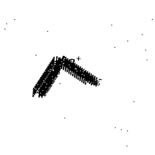 I.I.I.I.I.I.I.I.I.I.I.I.I.I.I.I.I.I.I.I.I.I.I.I.I.I.I.I.I.I.I.I.I.I.I.[Ag+].[I-]